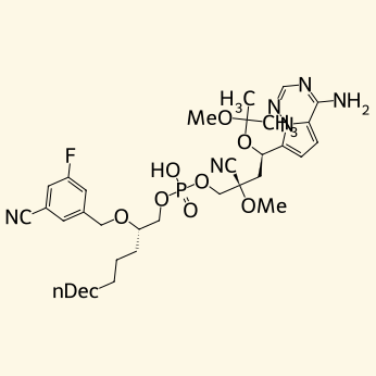 CCCCCCCCCCCCC[C@@H](COP(=O)(O)OC[C@](C#N)(C[C@@H](OC(C)(C)OC)c1ccc2c(N)ncnn12)OC)OCc1cc(F)cc(C#N)c1